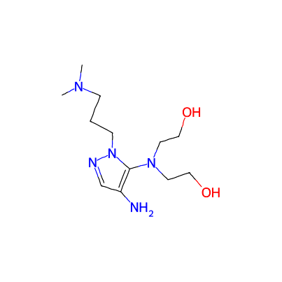 CN(C)CCCn1ncc(N)c1N(CCO)CCO